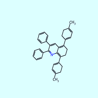 CC1=CC=C(C2=c3cc(-c4ccccc4)c(-c4ccccc4)nc3=C(C3=CC=C(C)CC3)CC2)CC1